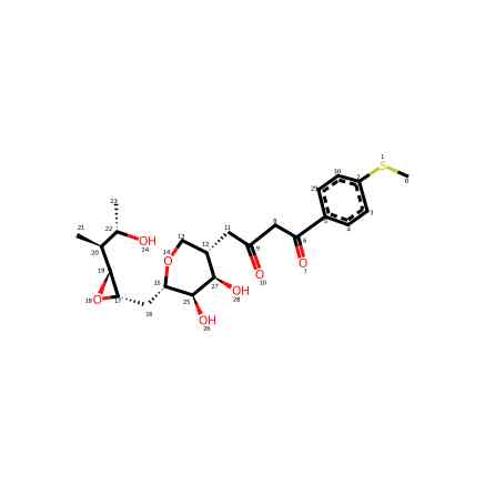 CSc1ccc(C(=O)CC(=O)C[C@H]2CO[C@@H](C[C@@H]3O[C@H]3[C@@H](C)[C@H](C)O)[C@H](O)[C@@H]2O)cc1